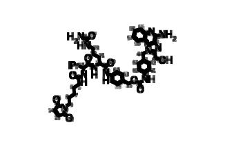 CC(C)C(NC(=O)CCCCCN1C(=O)C=CC1=O)C(=O)NC(CCCNC(N)=O)C(=O)Nc1ccc(COC(=O)Nc2ccc(Cn3c(CO)nc4c(N)nc5ccccc5c43)cc2)cc1